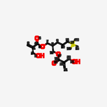 C=C(CO)C(=O)OCC(CCCS(C)(C)C)COC(=O)C(=C)CO